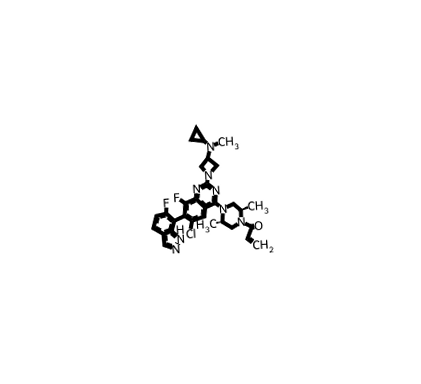 C=CC(=O)N1C[C@H](C)N(c2nc(N3CC(N(C)C4CC4)C3)nc3c(F)c(-c4c(F)ccc5cn[nH]c45)c(Cl)cc23)C[C@H]1C